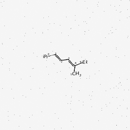 [CH2]C(C)C=CC=C(C)CC